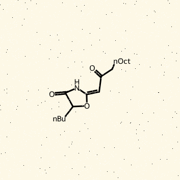 CCCCCCCCCC(=O)/C=C1\NC(=O)C(CCCC)O1